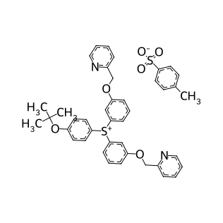 CC(C)(C)Oc1ccc([S+](c2cccc(OCc3ccccn3)c2)c2cccc(OCc3ccccn3)c2)cc1.Cc1ccc(S(=O)(=O)[O-])cc1